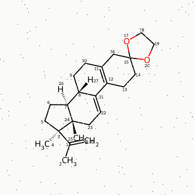 C=C(C)[C@@]1(C)CC[C@H]2[C@@H]3CCC4=C(CCC5(C4)OCCO5)C3=CC[C@@]21C